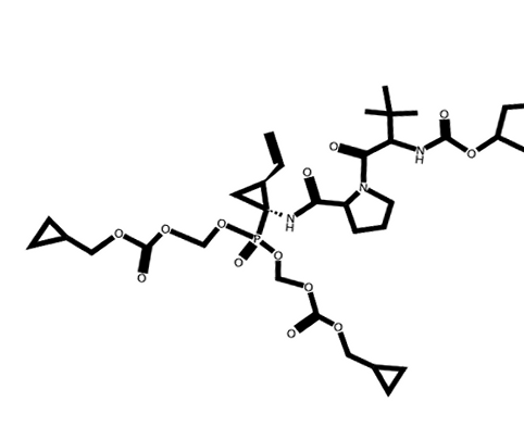 C=C[C@@H]1C[C@]1(NC(=O)C1CCCN1C(=O)C(NC(=O)OC1CCCC1)C(C)(C)C)P(=O)(OCOC(=O)OCC1CC1)OCOC(=O)OCC1CC1